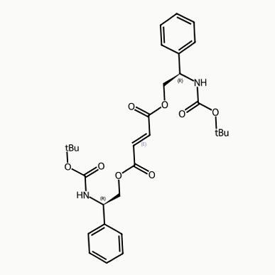 CC(C)(C)OC(=O)N[C@@H](COC(=O)/C=C/C(=O)OC[C@H](NC(=O)OC(C)(C)C)c1ccccc1)c1ccccc1